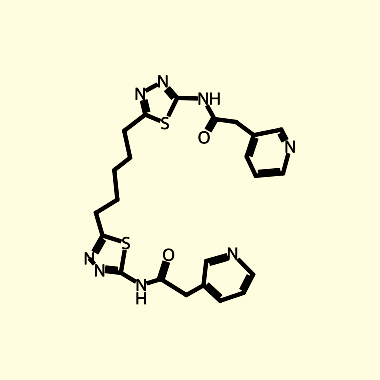 O=C(Cc1cccnc1)Nc1nnc(CCCCCc2nnc(NC(=O)Cc3cccnc3)s2)s1